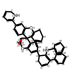 C1=CCNC(c2ccc3c(c2)OC2=C(C=CCC2)C32c3ccccc3Oc3cc(C4CC=CC(c5ccccc5)=C4Nc4ccccc4)ccc32)=C1